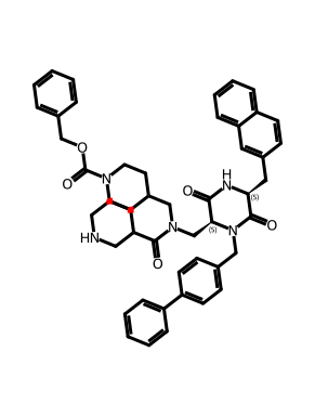 O=C1N[C@@H](Cc2ccc3ccccc3c2)C(=O)N(Cc2ccc(-c3ccccc3)cc2)[C@H]1CN(CC1CCN(C(=O)OCc2ccccc2)CC1)C(=O)C1CCCNC1